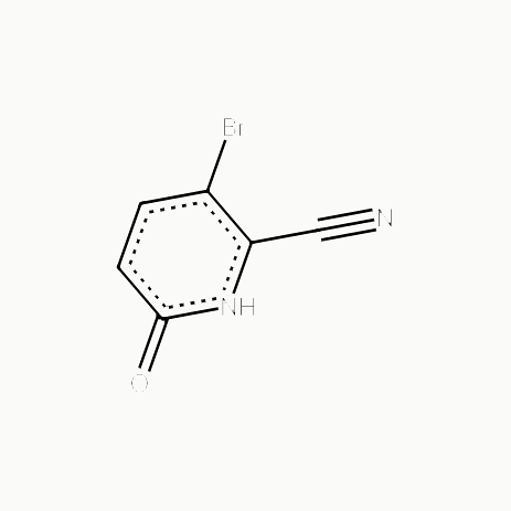 N#Cc1[nH]c(=O)ccc1Br